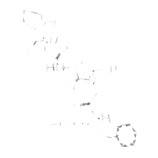 CC1C[C@H](NC(=O)CNC(=O)[C@@H]2CCCN2)C(=O)N1CC(=O)N[C@@H](Cc1ccccc1)C(=O)O